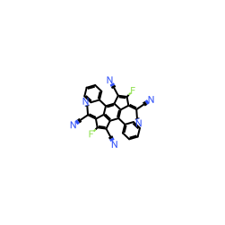 N#CC(C#N)=C1C(F)=C(C#N)c2c1c(-c1ccccc1)c1c(c2-c2ccccc2)C(=C(C#N)C#N)C(F)=C1C#N